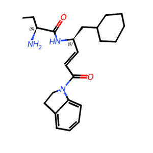 CC[C@H](N)C(=O)N[C@H](C=CC(=O)N1CCc2ccccc21)CC1CCCCC1